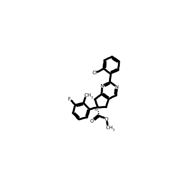 COC(=O)[C@@]1(c2cccc(F)c2C)Cc2cnc(-c3ccccc3Cl)nc2C1